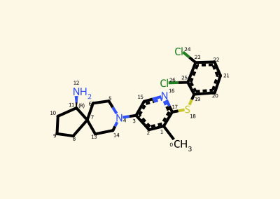 Cc1cc(N2CCC3(CCC[C@H]3N)CC2)cnc1Sc1cccc(Cl)c1Cl